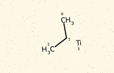 CCC.[Ti]